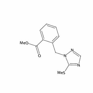 COC(=O)c1ccccc1Cn1ncnc1SC